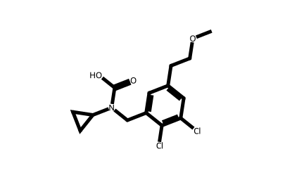 COCCc1cc(Cl)c(Cl)c(CN(C(=O)O)C2CC2)c1